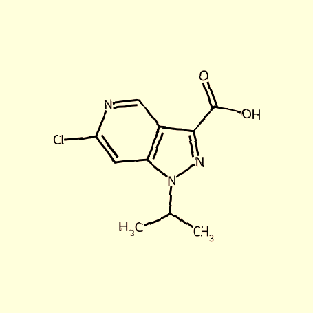 CC(C)n1nc(C(=O)O)c2cnc(Cl)cc21